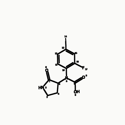 O=C1NCCC1N(C(=O)O)c1ccc(I)cc1F